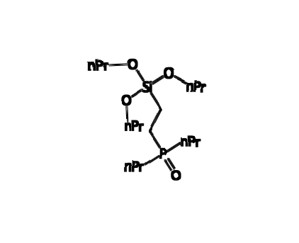 CCCO[Si](CCP(=O)(CCC)CCC)(OCCC)OCCC